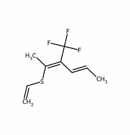 C=CS/C(C)=C(\C=C\C)C(F)(F)F